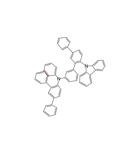 c1ccc(-c2ccc(N(c3ccccc3)c3cccc(-c4cc(-c5ccccc5)ccc4-n4c5ccccc5c5ccccc54)c3)c(-c3ccccc3)c2)cc1